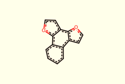 c1ccc2c(c1)c1ccoc1c1ccoc21